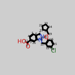 O=C(O)c1ccc2cnn(Cc3cc(Cl)ccc3OCC3CCCC3)c2c1